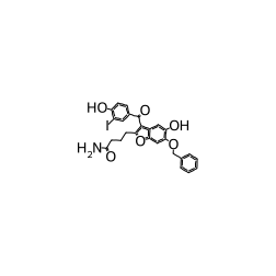 NC(=O)CCCc1oc2cc(OCc3ccccc3)c(O)cc2c1C(=O)c1ccc(O)c(I)c1